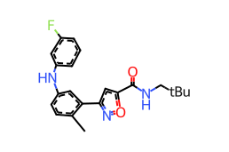 Cc1ccc(Nc2cccc(F)c2)cc1-c1cc(C(=O)NCC(C)(C)C)on1